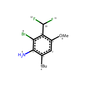 COc1cc(C(C)(C)C)c(N)c(Br)c1C(F)F